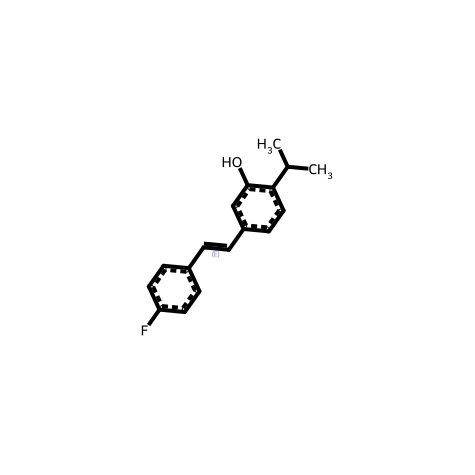 CC(C)c1ccc(/C=C/c2ccc(F)cc2)cc1O